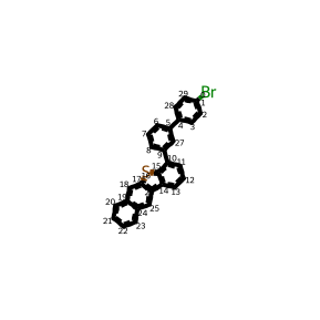 Brc1ccc(-c2cccc(-c3cccc4c3sc3cc5ccccc5cc34)c2)cc1